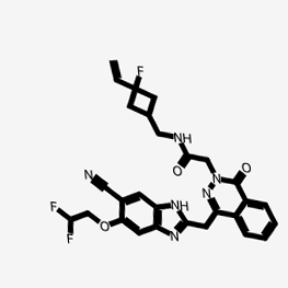 C=CC1(F)CC(CNC(=O)Cn2nc(Cc3nc4cc(OCC(F)F)c(C#N)cc4[nH]3)c3ccccc3c2=O)C1